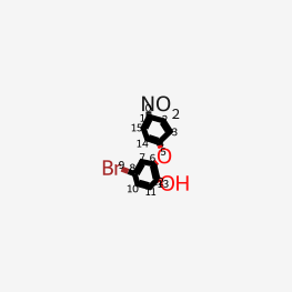 O=[N+]([O-])c1ccc(Oc2cc(Br)ccc2O)cc1